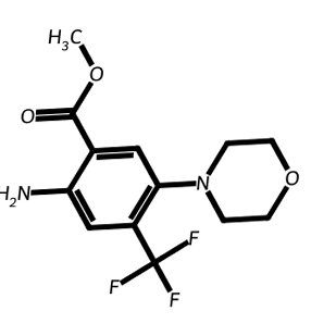 COC(=O)c1cc(N2CCOCC2)c(C(F)(F)F)cc1N